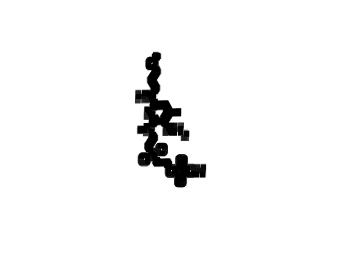 COCCCNc1cc(C)c(N)c(N(C)CCS(=O)(=O)CCOS(=O)(=O)O)n1